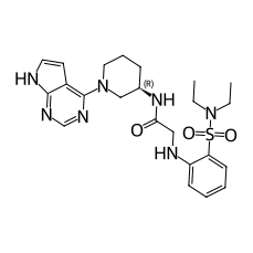 CCN(CC)S(=O)(=O)c1ccccc1NCC(=O)N[C@@H]1CCCN(c2ncnc3[nH]ccc23)C1